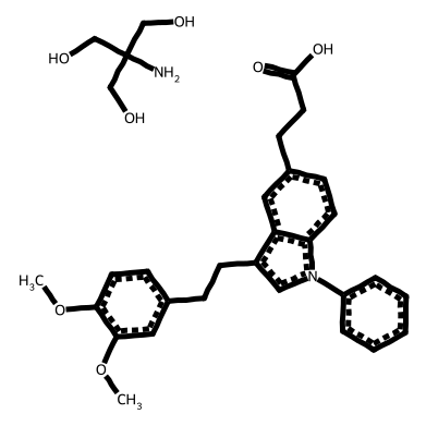 COc1ccc(CCc2cn(-c3ccccc3)c3ccc(CCC(=O)O)cc23)cc1OC.NC(CO)(CO)CO